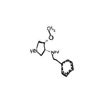 CO[C@H]1CNC[C@H]1NCc1ccccc1